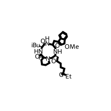 CCC(=O)CCCCC[C@@H]1NC(=O)C(CC2=CC(OC)c3ccccc32)NC(=O)[C@H](C(C)CC)NC(=O)[C@@H]2CCCCN2C1=O